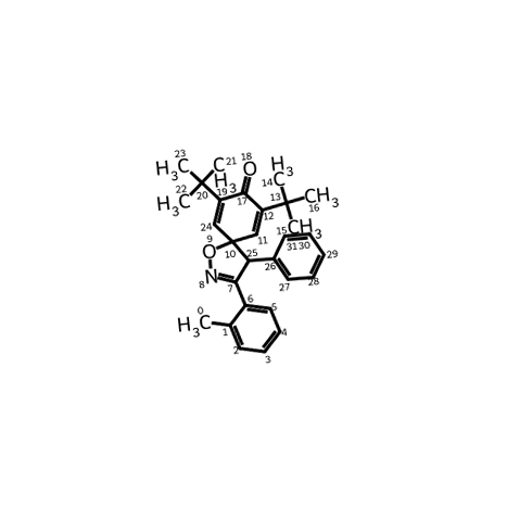 Cc1ccccc1C1=NOC2(C=C(C(C)(C)C)C(=O)C(C(C)(C)C)=C2)C1c1ccccc1